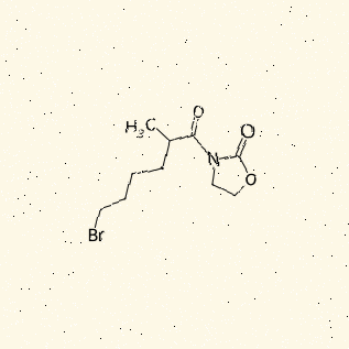 CC(CCCCBr)C(=O)N1CCOC1=O